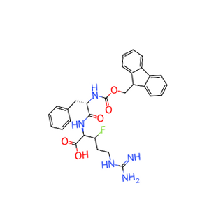 N=C(N)NCCC(F)[C@H](NC(=O)[C@H](Cc1ccccc1)NC(=O)OCC1c2ccccc2-c2ccccc21)C(=O)O